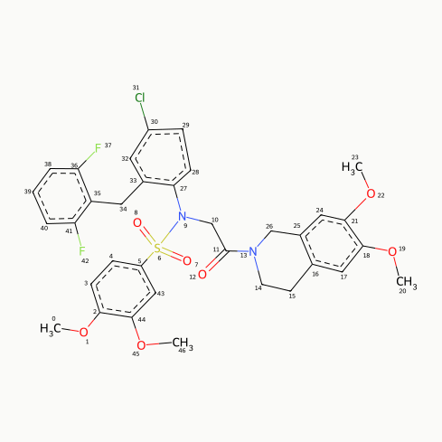 COc1ccc(S(=O)(=O)N(CC(=O)N2CCc3cc(OC)c(OC)cc3C2)c2ccc(Cl)cc2Cc2c(F)cccc2F)cc1OC